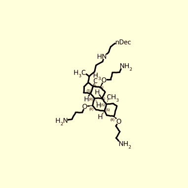 CCCCCCCCCCCCNCCCC(C)C1CC[C@H]2[C@@H]3[C@H](OCCCN)C[C@@H]4C[C@H](OCCCN)CC[C@]4(C)[C@H]3C[C@H](OCCCN)[C@]12C